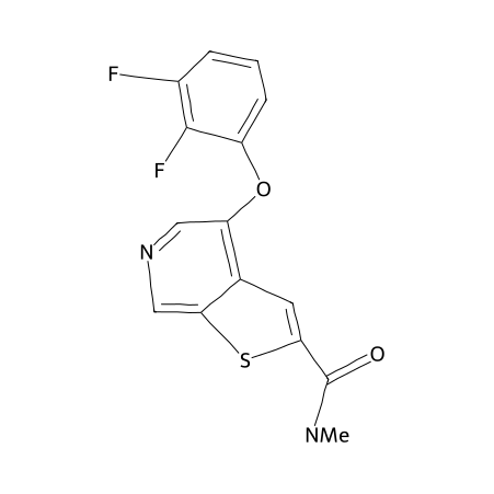 CNC(=O)c1cc2c(Oc3cccc(F)c3F)cncc2s1